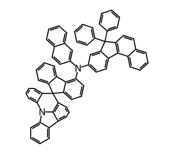 c1ccc(C2(c3ccccc3)c3cc(N(c4ccc5ccccc5c4)c4cccc5c4-c4ccccc4C54c5ccccc5-n5c6ccccc6c6cccc4c65)ccc3-c3c2ccc2ccccc32)cc1